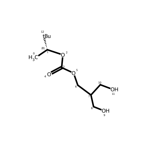 C[C@@H](OC(=O)OCC(CO)CO)C(C)(C)C